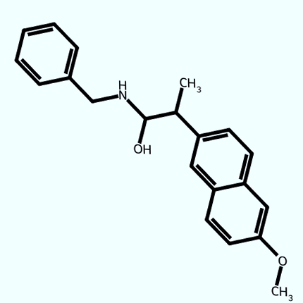 COc1ccc2cc(C(C)C(O)NCc3ccccc3)ccc2c1